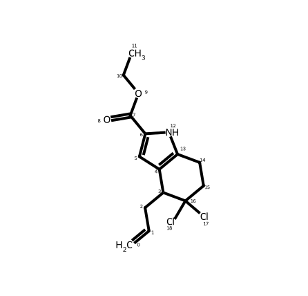 C=CCC1c2cc(C(=O)OCC)[nH]c2CCC1(Cl)Cl